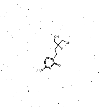 Nc1ccn(CCC(F)(CO)CO)c(=O)n1